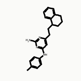 Cc1ccc(Nc2cc(CCC3CCCc4ccccc43)nc(N)n2)cc1